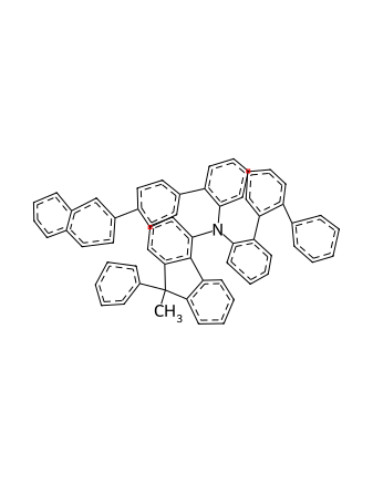 CC1(c2ccccc2)c2ccccc2-c2c(N(c3ccccc3-c3ccc(-c4ccc5ccccc5c4)cc3)c3ccccc3-c3ccccc3-c3ccccc3)cccc21